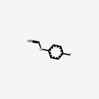 N=COc1ccc(F)cc1